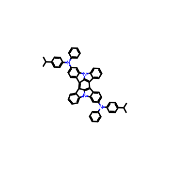 CC(C)c1ccc(N(c2ccccc2)c2ccc3c4c5c6ccccc6n6c7cc(N(c8ccccc8)c8ccc(C(C)C)cc8)ccc7c(c7c8ccccc8n(c3c2)c74)c56)cc1